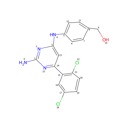 Nc1nc(Nc2ccc(CO)cc2)cc(-c2cc(Cl)ccc2Cl)n1